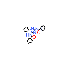 O=C(Nc1nc(NC(=O)c2ccccc2)n(-c2ccccc2)n1)c1ccccc1